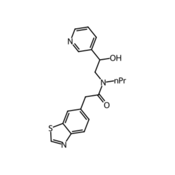 CCCN(CC(O)c1cccnc1)C(=O)Cc1ccc2ncsc2c1